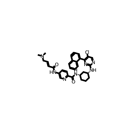 CN(C)C/C=C/C(=O)Nc1ccc(C(=O)N[C@H]2CCC[C@@H](Nc3ncc(Cl)c(-c4cc#cc5ccccc45)n3)C2)nc1